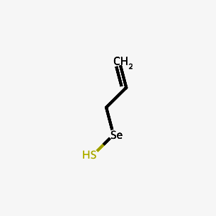 C=CC[Se]S